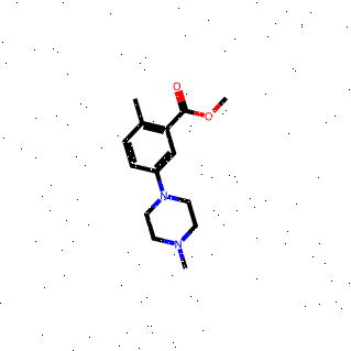 COC(=O)c1cc(N2CCN(C)CC2)ccc1C